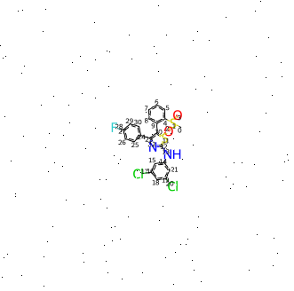 CS(=O)(=O)c1ccccc1-c1sc(Nc2cc(Cl)cc(Cl)c2)nc1-c1ccc(F)cc1